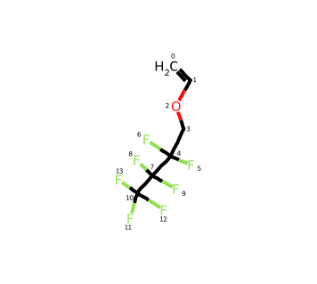 C=COCC(F)(F)C(F)(F)C(F)(F)F